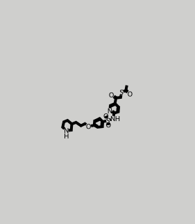 CC(=O)SCC(=O)c1ccc(NS(=O)(=O)c2ccc(OCCCC3CCCNC3)cc2)nc1